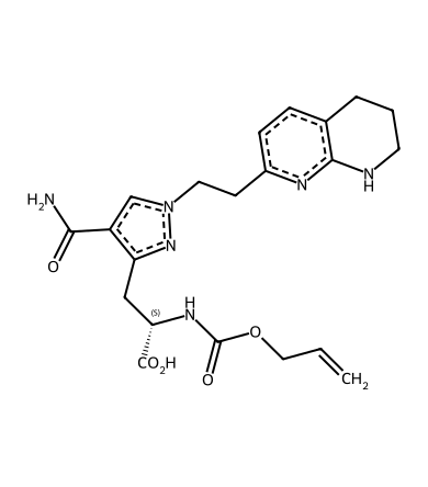 C=CCOC(=O)N[C@@H](Cc1nn(CCc2ccc3c(n2)NCCC3)cc1C(N)=O)C(=O)O